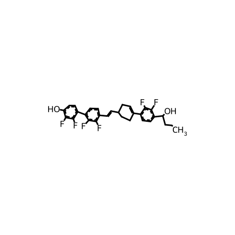 CCCC(O)c1ccc(C2=CCC(/C=C/c3ccc(-c4ccc(O)c(F)c4F)c(F)c3F)CC2)c(F)c1F